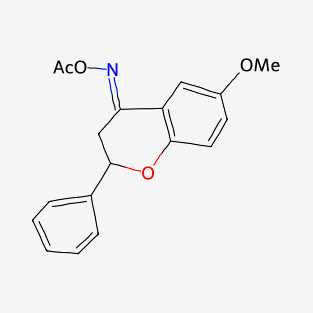 COc1ccc2c(c1)/C(=N/OC(C)=O)CC(c1ccccc1)O2